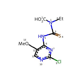 CCN(C(=O)O)C(=S)Nc1nc(Cl)ncc1OC